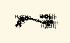 C[C@H](NC(=O)[C@@H]1C[C@@H](O)CN1C(=O)[C@@H](NC(=O)COCCCOCCCCCOc1ccc(N2C(=S)N(c3ccc(C#N)c(C(F)(F)F)c3)C(=O)C2(C)C)cc1)C(C)(C)C)c1ccc(-n2ccnc2)cc1